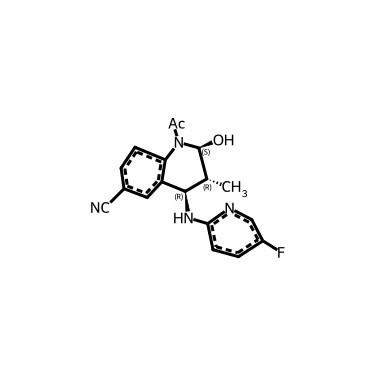 CC(=O)N1c2ccc(C#N)cc2[C@H](Nc2ccc(F)cn2)[C@@H](C)[C@@H]1O